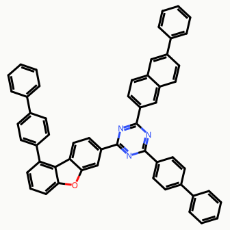 c1ccc(-c2ccc(-c3nc(-c4ccc5cc(-c6ccccc6)ccc5c4)nc(-c4ccc5c(c4)oc4cccc(-c6ccc(-c7ccccc7)cc6)c45)n3)cc2)cc1